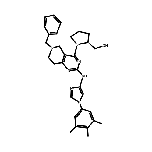 Cc1cc(-n2cnc(Nc3nc4c(c(N5CCC[C@H]5CO)n3)CN(Cc3ccccc3)CC4)c2)cc(C)c1C